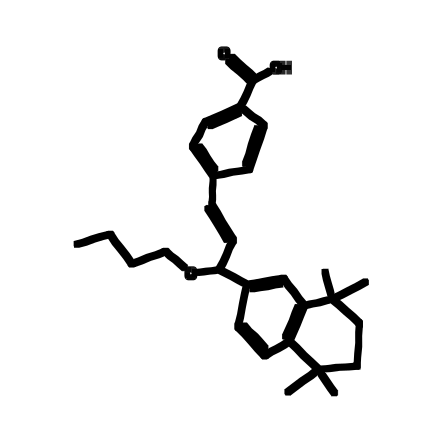 CCCCOC(C=Cc1ccc(C(=O)O)cc1)c1ccc2c(c1)C(C)(C)CCC2(C)C